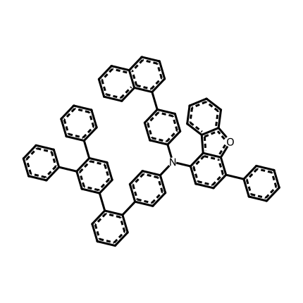 c1ccc(-c2ccc(-c3ccccc3-c3ccc(N(c4ccc(-c5cccc6ccccc56)cc4)c4ccc(-c5ccccc5)c5oc6ccccc6c45)cc3)cc2-c2ccccc2)cc1